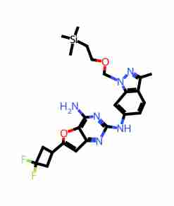 Cc1nn(COCC[Si](C)(C)C)c2cc(Nc3nc(N)c4oc(C5CC(F)(F)C5)cc4n3)ccc12